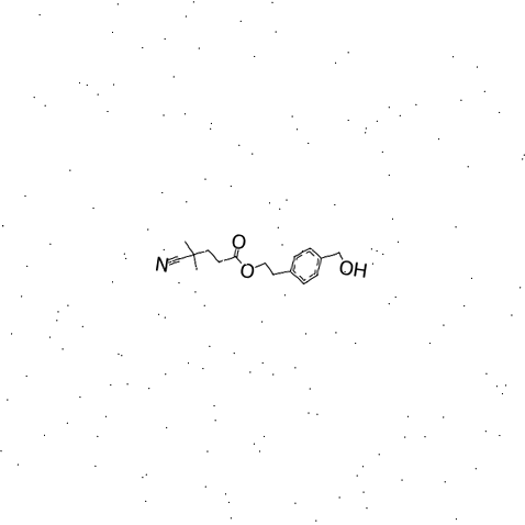 CC(C)(C#N)CCC(=O)OCCc1ccc(CO)cc1